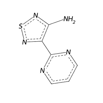 Nc1nsnc1-c1ncccn1